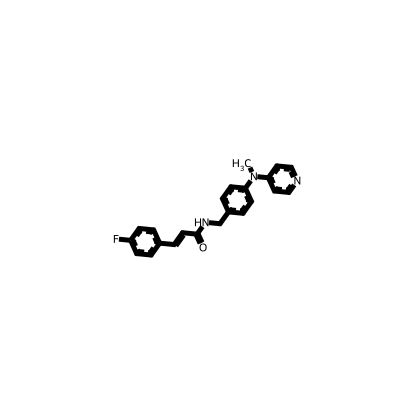 CN(c1ccncc1)c1ccc(CNC(=O)/C=C/c2ccc(F)cc2)cc1